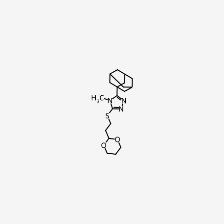 Cn1c(SCCC2OCCCO2)nnc1C12CC3CC(CC(C3)C1)C2